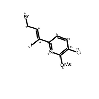 COc1nc(/C(I)=C/CBr)ccc1Cl